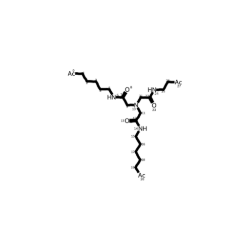 CC(=O)CCCCCNC(=O)CN(CC(=O)NCCCCCC(C)=O)CC(=O)NCCC(C)=O